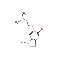 CC(=O)N1CCc2cc(Br)c(OCCN(C)C)cc21